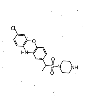 CC(c1ccc2c(c1)Nc1ccc(Cl)cc1O2)S(=O)(=O)N1CCNCC1